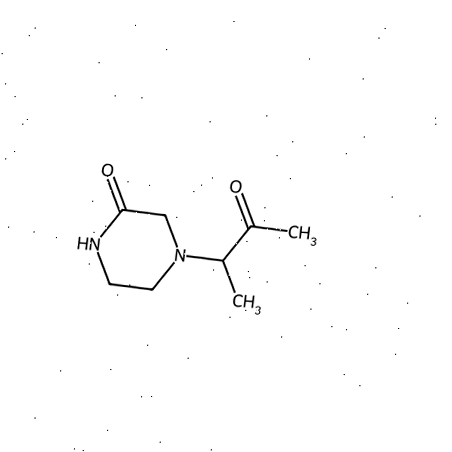 CC(=O)C(C)N1CCNC(=O)C1